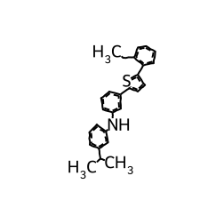 CCc1ccccc1-c1ccc(-c2cccc(Nc3cccc(C(C)C)c3)c2)s1